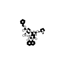 CN1CCC[C@H]1COc1nc(N2CCN(C(=O)OCc3ccccc3)[C@@H](CC#N)C2)c2[nH]c(=O)n(-c3cccc4cccc(Cl)c34)c(=O)c2n1